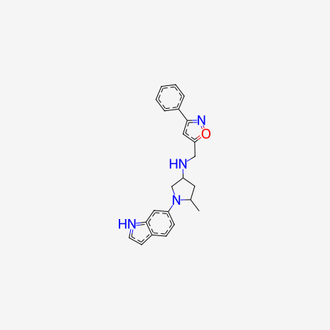 CC1CC(NCc2cc(-c3ccccc3)no2)CN1c1ccc2cc[nH]c2c1